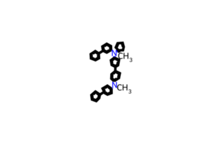 CN(c1ccc(-c2ccccc2)cc1)c1ccc(-c2ccc(N(c3cccc(-c4ccccc4)c3)C3(C)C=CC=CC3)cc2)cc1